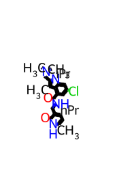 CCCc1cc(C)[nH]c(=O)c1CNC(=O)c1cc(Cl)cc2c1c(C)c(CN(C)C)n2C(C)C